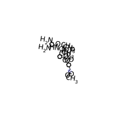 COC(=O)/C=C/c1ccc(OC(=O)C(CC(CON2C(C)(C)CC(NC(=O)c3cc(N)cc(N)c3)CC2(C)C)c2ccccc2)OC(=O)c2ccccc2)cc1